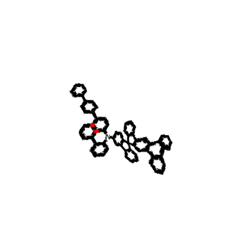 c1ccc(-c2ccc(-c3ccc(N(c4ccc5c(c4)-c4ccccc4C54c5ccccc5-c5cc6c7ccccc7c7ccccc7c6cc54)c4ccccc4-c4ccccc4)cc3)cc2)cc1